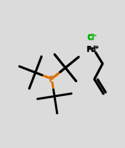 C=C[CH2][Pd+].CC(C)(C)P(C(C)(C)C)C(C)(C)C.[Cl-]